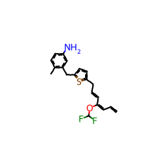 C=C/C=C(\C=C\Cc1ccc(Cc2cc(N)ccc2C)s1)OC(F)F